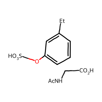 CC(=O)NCC(=O)O.CCc1cccc(OS(=O)(=O)O)c1